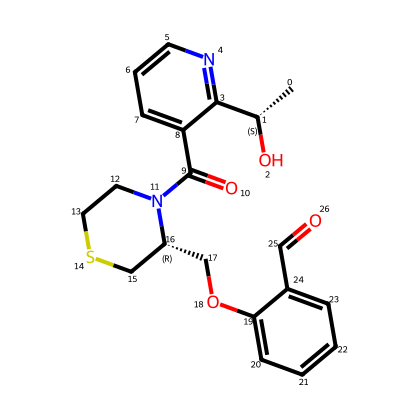 C[C@H](O)c1ncccc1C(=O)N1CCSC[C@H]1COc1ccccc1C=O